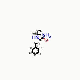 CCC(C)(C)N[C@@H](CCc1ccccc1)C(N)=O